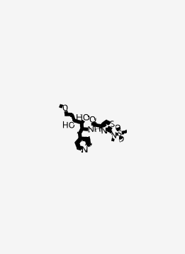 COCCC(O)C(O)C(Cc1ccncc1)NC(=O)c1csc(N(C)S(C)(=O)=O)n1